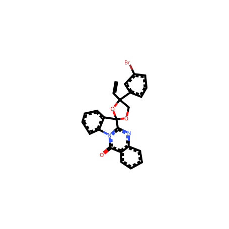 C=CC1(c2cccc(Br)c2)COC2(O1)c1ccccc1-n1c2nc2ccccc2c1=O